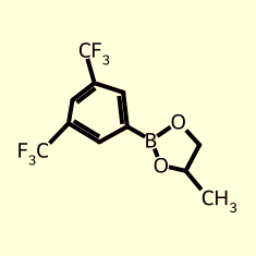 CC1COB(c2cc(C(F)(F)F)cc(C(F)(F)F)c2)O1